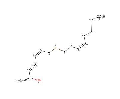 CCCCC[C@H](O)/C=C/C=C\CSCC/C=C\CCCC(=O)O